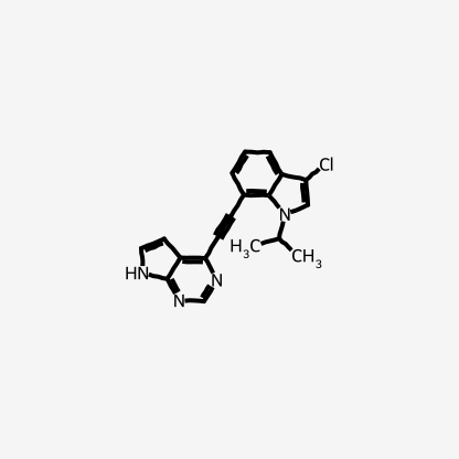 CC(C)n1cc(Cl)c2cccc(C#Cc3ncnc4[nH]ccc34)c21